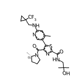 Cc1cc(NCC2(C(F)(F)F)CC2)ncc1-c1sc(C(=O)NCC(C)(C)O)nc1C(=O)N1CCC[C@@H]1C